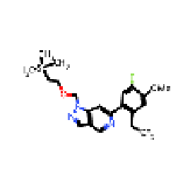 COc1cc(CC(F)(F)F)c(-c2cc3c(cn2)cnn3COCC[Si](C)(C)C)cc1F